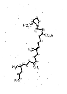 C/C(=C\CSCC(NC(=O)N1CCC[C@H]1C(=O)O)C(=O)O)CCCC(C)CCCC(C)CCCC(C)C